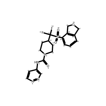 O=C(Nc1ccnnc1)N1CCC(C(F)(F)S(=O)(=O)c2cccc3c2COC3)CC1